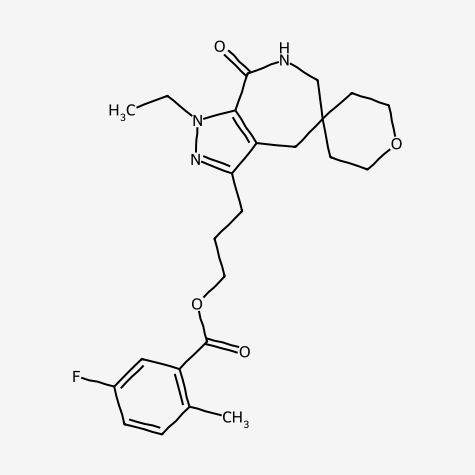 CCn1nc(CCCOC(=O)c2cc(F)ccc2C)c2c1C(=O)NCC1(CCOCC1)C2